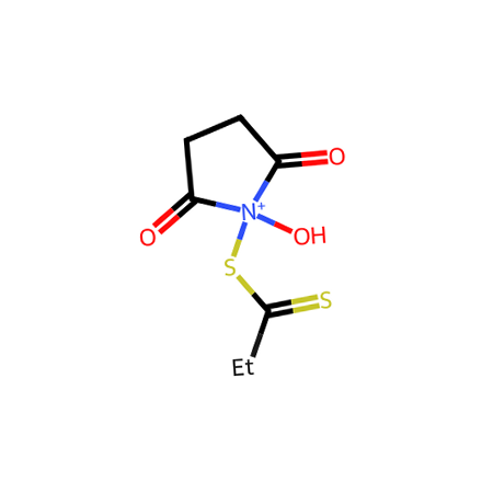 CCC(=S)S[N+]1(O)C(=O)CCC1=O